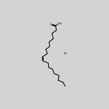 CCCCCCCC/C=C\CCCCCCCC(=O)O.[Yb]